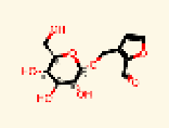 O=Cc1occc1CO[C@H]1O[C@H](CO)[C@@H](O)[C@H](O)[C@H]1O